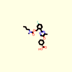 CCCCN(C)C(=O)OCc1cc(F)ccc1-c1ncc(O[C@H]2CCC[C@H](C(=O)O)C2)c(C)n1